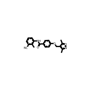 Cc1noc(C)c1COc1ccc(C(=O)Nc2cccc(C#N)c2C)cc1